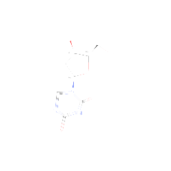 O=c1ncn([C@H]2C[C@@H](O)[C@@H](CO)O2)c(=O)[nH]1